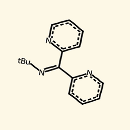 CC(C)(C)N=C(c1ccccn1)c1ccccn1